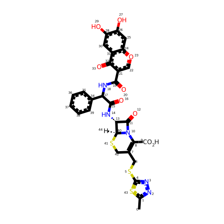 Cc1nnc(SCC2=C(C(=O)O)N3C(=O)[C@@H](NC(=O)C(NC(=O)c4coc5cc(O)c(O)cc5c4=O)c4ccccc4)[C@@H]3SC2)s1